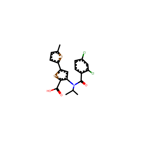 Cc1ccc(-c2cc(N(C(=O)c3ccc(Cl)cc3Cl)C(C)C)c(C(=O)O)s2)s1